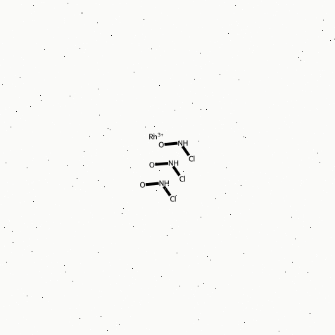 [O-]NCl.[O-]NCl.[O-]NCl.[Rh+3]